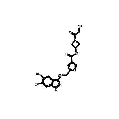 C=CC(=O)N1CC(NC(=O)c2csc(CNc3n[nH]c4cc(Cl)c(C(C)(C)C)cc34)n2)C1